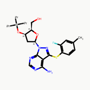 Cc1ccc(Sc2nn([C@H]3C[C@@H](O[Si](C(C)C)(C(C)C)C(C)C)[C@@H](CO)O3)c3ncnc(N)c23)c(F)c1